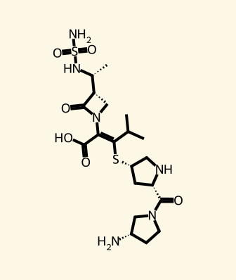 CC(C)/C(S[C@@H]1CN[C@H](C(=O)N2CC[C@H](N)C2)C1)=C(/C(=O)O)N1C[C@@H]([C@@H](C)NS(N)(=O)=O)C1=O